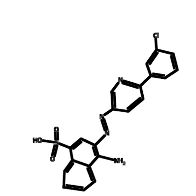 Nc1c(N=Nc2ccc(-c3cccc(Cl)c3)nc2)cc(S(=O)(=O)O)c2ccccc12